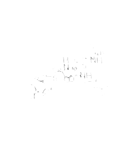 CC(C)CCCNC(=O)[C@@H](CCCNC(C)C)NC(=O)CCCc1ccc(I)cc1